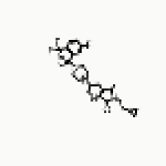 CC1c2cc(N3CCN(C(=O)c4cc(F)ccc4C(F)(F)F)CC3)cnc2C(=O)N1CCC1CC1